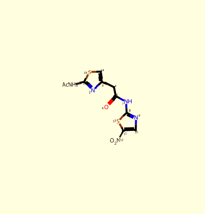 CC(=O)Nc1nc(CC(=O)Nc2ncc([N+](=O)[O-])s2)cs1